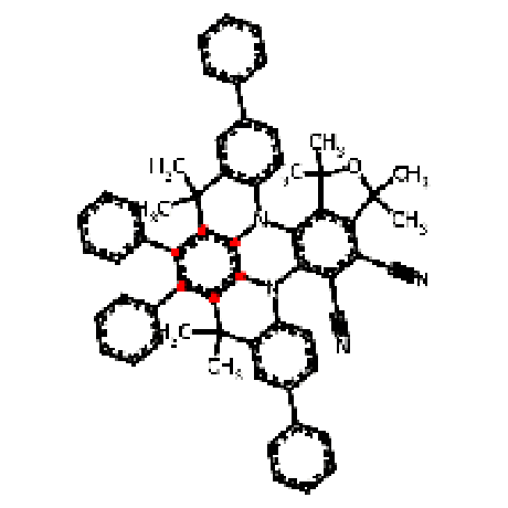 CC1(C)OC(C)(C)c2c(N3c4ccc(-c5ccccc5)cc4C(C)(C)c4cc(-c5ccccc5)ccc43)c(N3c4ccc(-c5ccccc5)cc4C(C)(C)c4cc(-c5ccccc5)ccc43)c(C#N)c(C#N)c21